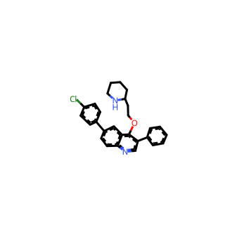 Clc1ccc(-c2ccc3ncc(-c4ccccc4)c(OCCC4CCCCN4)c3c2)cc1